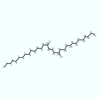 CCCCCCCCCCCCCCC(C)CCCC(C)CCCCCCCCCCCC